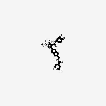 Cn1nc(C2CC3CC(CNC(=O)C4CCNC(=O)C4)CC3C2)c(C(=O)Nc2ccc(F)c(Cl)c2)c1N